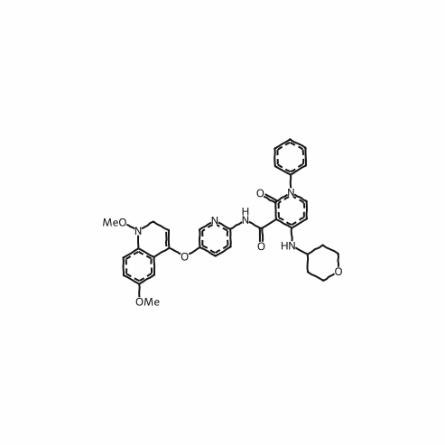 COc1ccc2c(c1)C(Oc1ccc(NC(=O)c3c(NC4CCOCC4)ccn(-c4ccccc4)c3=O)nc1)=CCN2OC